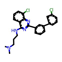 CN(C)CCCNc1nc(-c2cccc(-c3cccc(Cl)c3)c2)nc2c(Cl)cccc12